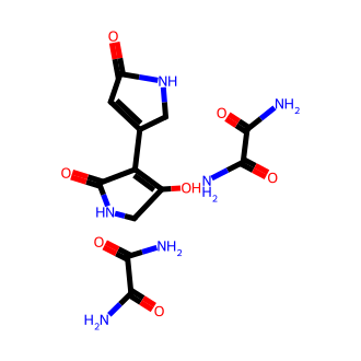 NC(=O)C(N)=O.NC(=O)C(N)=O.O=C1C=C(C2=C(O)CNC2=O)CN1